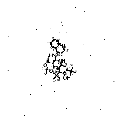 CC1(C)OC(=O)C(=C(Nc2cc(C(C)(C)C)c(O)c(C(C)(C)C)c2)Nc2ccnc3ccccc23)C(=O)O1